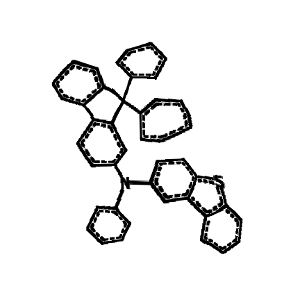 c1ccc(N(c2ccc3c(c2)C(c2ccccc2)(c2ccccc2)c2ccccc2-3)c2ccc3sc4ccccc4c3c2)cc1